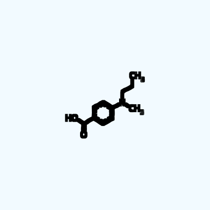 CCCN(C)c1ccc(C(=O)O)cc1